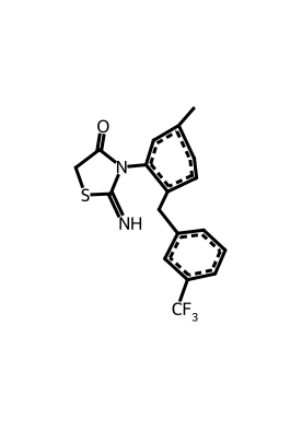 Cc1ccc(Cc2cccc(C(F)(F)F)c2)c(N2C(=N)SCC2=O)c1